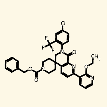 CCOc1ncccc1-c1ccc2c(n1)C(=O)N(c1ccc(Cl)cc1C(F)(F)F)CC21CCN(C(=O)OCc2ccccc2)CC1